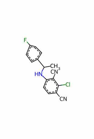 CC(Nc1ccc(C#N)c(Cl)c1C#N)c1ccc(F)cc1